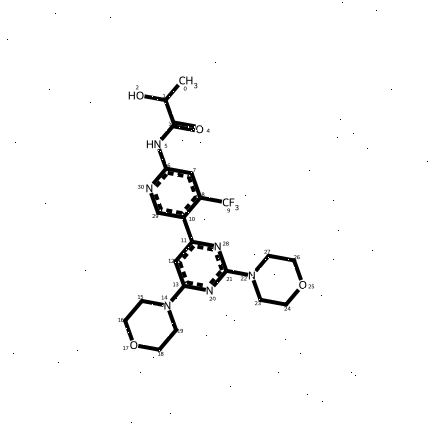 CC(O)C(=O)Nc1cc(C(F)(F)F)c(-c2cc(N3CCOCC3)nc(N3CCOCC3)n2)cn1